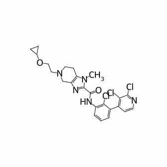 Cn1c(C(=O)Nc2cccc(-c3ccnc(Cl)c3Cl)c2Cl)nc2c1CCN(CCOC1CC1)C2